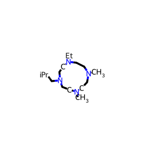 CCN1CCN(C)CCN(C)CCN(CC(C)C)CC1